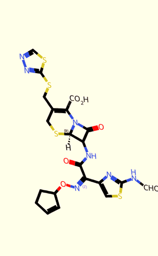 O=CNc1nc(/C(=N/OC2C=CCC2)C(=O)NC2C(=O)N3C(C(=O)O)=C(CSc4nncs4)CS[C@H]23)cs1